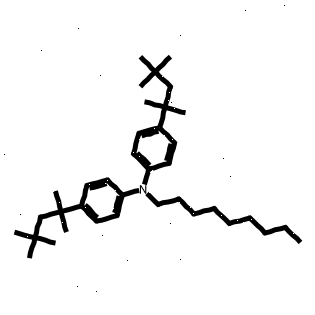 CCCCCCCCCN(c1ccc(C(C)(C)CC(C)(C)C)cc1)c1ccc(C(C)(C)CC(C)(C)C)cc1